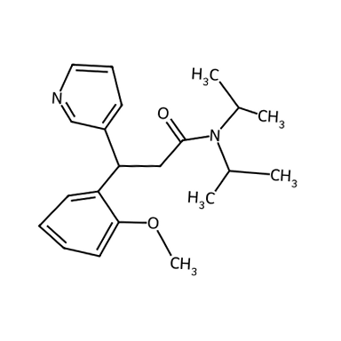 COc1ccccc1C(CC(=O)N(C(C)C)C(C)C)c1cccnc1